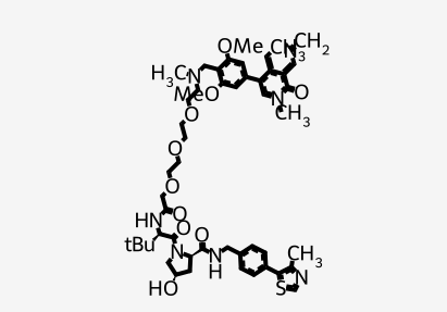 C=N/C=c1/c(=O)n(C)cc(-c2cc(OC)c(CN(C)CCOCCOCCOCC(=O)N[C@@H](C(=O)N3C[C@@H](O)C[C@@H]3C(=O)NCc3ccc(-c4scnc4C)cc3)C(C)(C)C)c(OC)c2)/c1=C/C